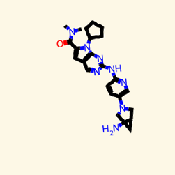 CN(C)C(=O)c1cc2cnc(Nc3ccc(N4CC5CC5(N)C4)cn3)nc2n1C1CCCC1